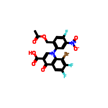 CC(=O)OCc1cc(F)c([N+](=O)[O-])cc1-n1cc(C(=O)O)c(=O)c2cc(F)c(F)c(Br)c21